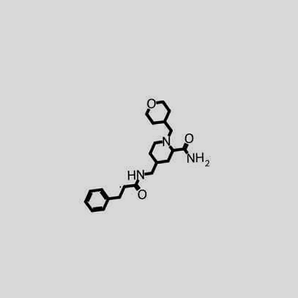 NC(=O)C1CC(CNC(=O)[CH]Cc2ccccc2)CCN1CC1CCOCC1